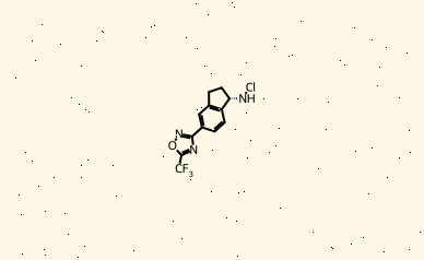 FC(F)(F)c1nc(-c2ccc3c(c2)CC[C@@H]3NCl)no1